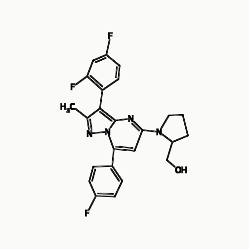 Cc1nn2c(-c3ccc(F)cc3)cc(N3CCCC3CO)nc2c1-c1ccc(F)cc1F